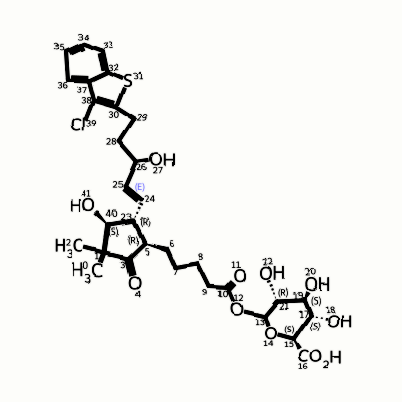 CC1(C)C(=O)[C@H](CCCCC(=O)OC2O[C@H](C(=O)O)[C@@H](O)[C@H](O)[C@H]2O)[C@@H](/C=C/C(O)CCc2sc3ccccc3c2Cl)[C@@H]1O